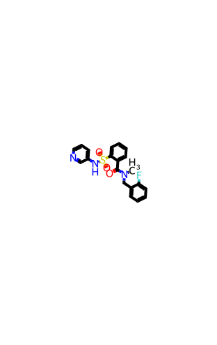 CN(Cc1ccccc1F)C(=O)c1ccccc1S(=O)(=O)Nc1cccnc1